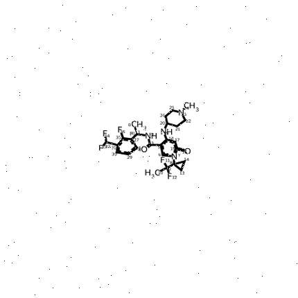 C[C@@H](NC(=O)c1cn(C2(C(C)(F)F)CC2)c(=O)cc1NC1CCN(C)CC1)c1cccc(C(F)F)c1F